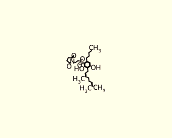 CCCCCc1cc(O)c(CC=C(C)CCC=C(C)C)c(O)c1S(=O)(=O)CCN1C(=O)CCC1=O